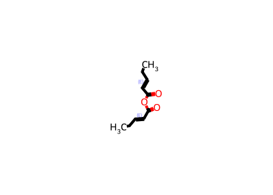 CC/C=C/C(=O)OC(=O)/C=C/CC